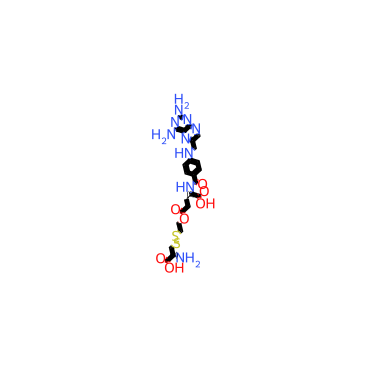 Nc1nc(N)c2nc(CNc3ccc(C(=O)N[C@@H](CCC(=O)OCCSSC[C@H](N)C(=O)O)C(=O)O)cc3)cnc2n1